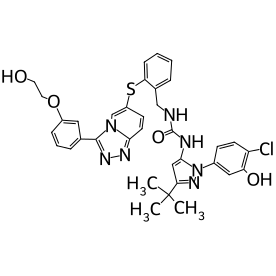 CC(C)(C)c1cc(NC(=O)NCc2ccccc2Sc2ccc3nnc(-c4cccc(OCCO)c4)n3c2)n(-c2ccc(Cl)c(O)c2)n1